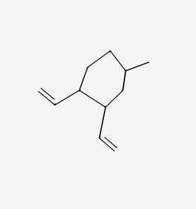 O=CC1CCC(O)CC1C=O